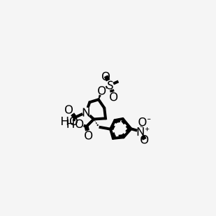 CS(=O)(=O)O[C@H]1CC[C@@](Cc2ccc([N+](=O)[O-])cc2)(C(=O)O)N(C(=O)O)C1